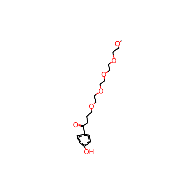 COCCOCCOCCOCCOCCCC(=O)c1ccc(O)cc1